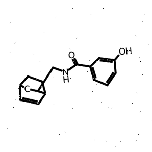 O=C(NCC1CC2C=CC1CC2)c1cccc(O)c1